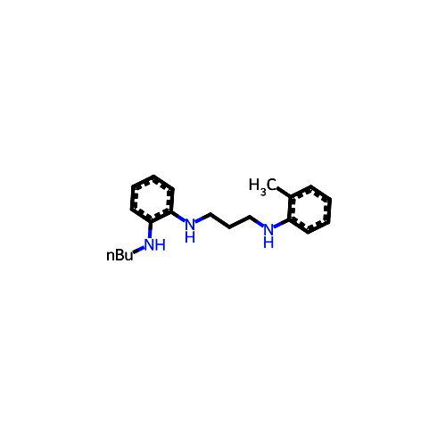 CCCCNc1ccccc1NCCCNc1ccccc1C